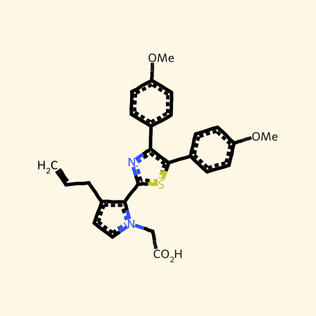 C=CCc1ccn(CC(=O)O)c1-c1nc(-c2ccc(OC)cc2)c(-c2ccc(OC)cc2)s1